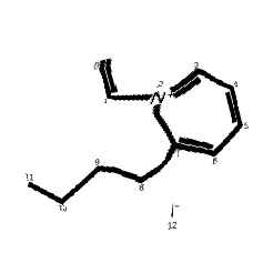 C=C[n+]1ccccc1CCCC.[I-]